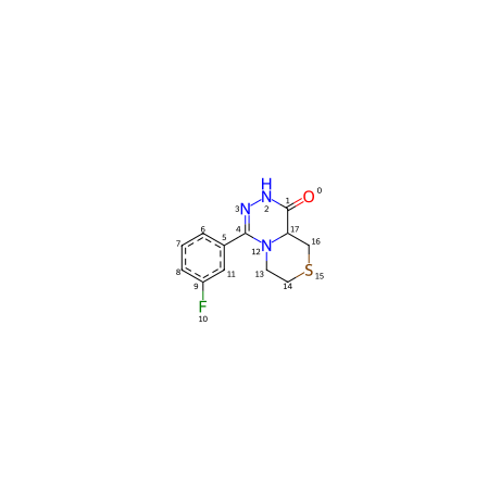 O=C1NN=C(c2cccc(F)c2)N2CCSCC12